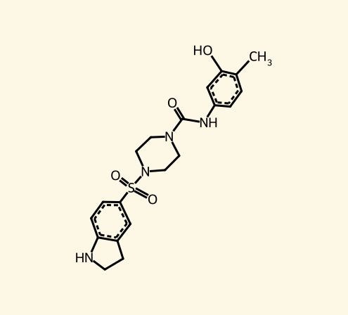 Cc1ccc(NC(=O)N2CCN(S(=O)(=O)c3ccc4c(c3)CCN4)CC2)cc1O